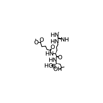 CNC(=N)NCCC[C@H](NC(=O)CCCC(=O)OC)C(=O)N[C@@H](CC(C)C)B(O)O